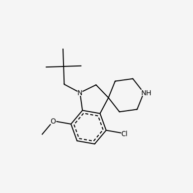 COc1ccc(Cl)c2c1N(CC(C)(C)C)CC21CCNCC1